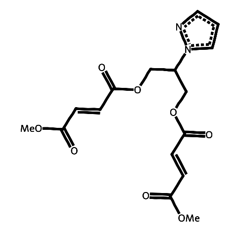 COC(=O)/C=C/C(=O)OCC(COC(=O)/C=C/C(=O)OC)n1cccn1